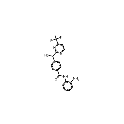 Nc1ccccc1NC(=O)c1ccc(C(S)c2nccc(C(F)(F)F)n2)cc1